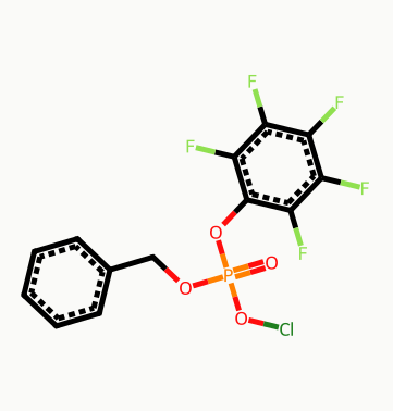 O=P(OCl)(OCc1ccccc1)Oc1c(F)c(F)c(F)c(F)c1F